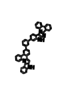 c1cc(-c2ccc3c(c2)[nH]c2nc4c5ccccc5c5ccccc5n4c23)cc(-c2ccc3c(c2)c2ccccc2n2c3cc3[nH]c4ccccc4c32)c1